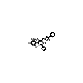 CCOC(=O)C1=C(Cn2cc(-c3ccccc3)nn2)NC(c2nccs2)=NC1c1ccc(F)cc1Br